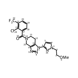 COCCn1ccc(-n2nnc3c2CCN(C(=O)c2cccc(C(F)(F)F)c2Cl)C3)n1